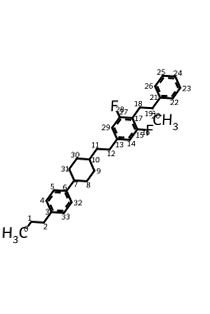 CCCc1ccc(C2CCC(CCc3cc(F)c(C[C@@H](C)c4ccccc4)c(F)c3)CC2)cc1